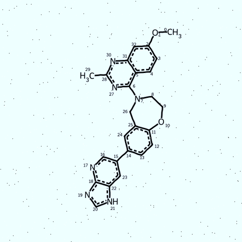 COc1ccc2c(N3CCOc4ccc(-c5cnc6nc[nH]c6c5)cc4C3)nc(C)nc2c1